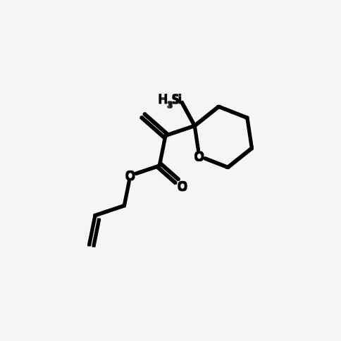 C=CCOC(=O)C(=C)C1([SiH3])CCCCO1